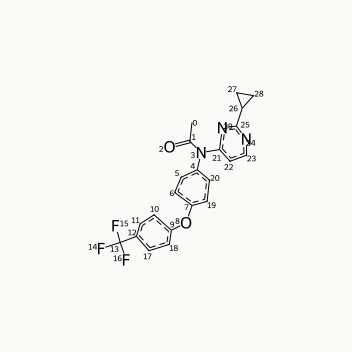 CC(=O)N(c1ccc(Oc2ccc(C(F)(F)F)cc2)cc1)c1ccnc(C2CC2)n1